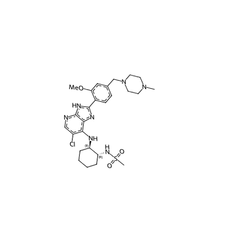 COc1cc(CN2CCN(C)CC2)ccc1-c1nc2c(N[C@@H]3CCCC[C@H]3NS(C)(=O)=O)c(Cl)cnc2[nH]1